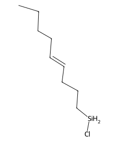 CCCCC=CCCC[SiH2]Cl